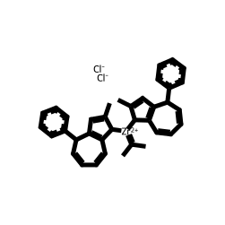 CC1=CC2=C(C=CC=CC2c2ccccc2)[CH]1[Zr+2](=[C](C)C)[CH]1C(C)=CC2=C1C=CC=CC2c1ccccc1.[Cl-].[Cl-]